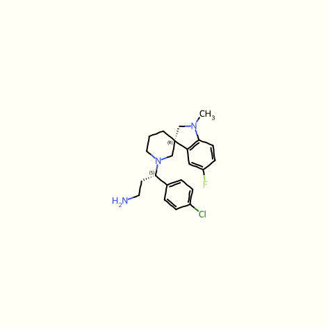 CN1C[C@]2(CCCN([C@@H](CCN)c3ccc(Cl)cc3)C2)c2cc(F)ccc21